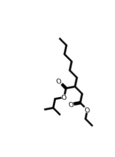 CCCCCCC(CC(=O)OCC)C(=O)OCC(C)C